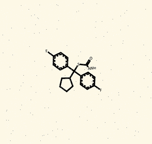 CNC(=O)SC(c1ccc(F)cc1)(c1ccc(F)cc1)C1CCCC1